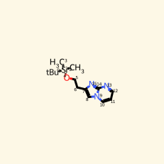 CC(C)(C)[Si](C)(C)OCCc1cn2cccnc2n1